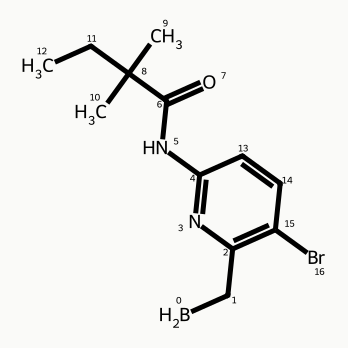 BCc1nc(NC(=O)C(C)(C)CC)ccc1Br